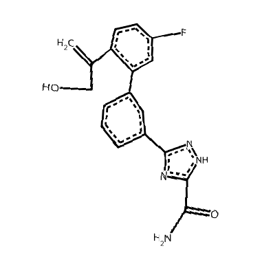 C=C(CO)c1ccc(F)cc1-c1cccc(-c2n[nH]c(C(N)=O)n2)c1